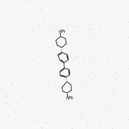 CCC[C@H]1CC[C@H](c2ccc(-c3ccc([C@H]4CC[C@H](CCC)CC4)cc3)cc2)CC1